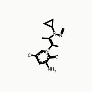 C=NN(/C(C)=C(\C)n1cc(Cl)cc(N)c1=O)C1CC1